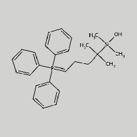 CC(C)(CCC=P(c1ccccc1)(c1ccccc1)c1ccccc1)[Si](C)(C)O